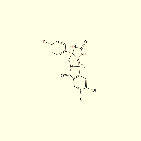 C=C1NC(=O)NC1(CN1Cc2cc(O)c(Cl)cc2C1=O)c1ccc(F)cc1